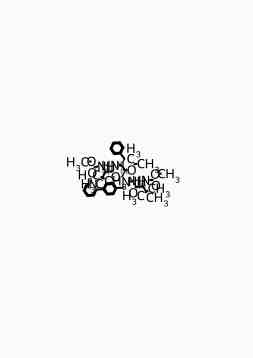 COC(=O)N[C@H](C(=O)N[C@@H](Cc1ccccc1)[C@H](CN(Cc1ccc(-c2ccccn2)cc1)NC(=O)[C@@H](NC(=O)OC)C(C)(C)C)OC(C)C)C(C)(C)C